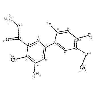 COC(=O)c1nc(-c2cc(OC)c(Cl)cc2F)cc(N)c1Cl